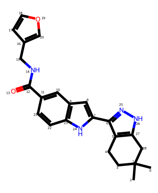 CC1(C)CCc2c(-c3cc4cc(C(=O)NCc5ccoc5)ccc4[nH]3)n[nH]c2C1